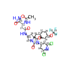 CC(=O)NC(CC(=O)N[C@@H]1CN2C(=O)N(c3cc(Cl)nc(Cl)c3)C(=O)[C@@]2(Cc2ccc(OC(F)(F)F)cc2)C1)C(N)=O